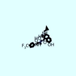 C/C(C(=O)Nc1ccc(C(F)(F)F)cc1)=C(/O)[C@@H]1Oc2c(O)ccc3c2[C@@]12CCN(CC1CC1)[C@H](C3)[C@@]2(C)O